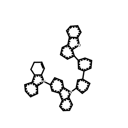 C1=Cc2c(c3ccccc3n2-c2ccc3c(c2)c2ccccc2n3-c2cccc(-c3cccc(-c4cccc5c4oc4ccccc45)c3)c2)CC1